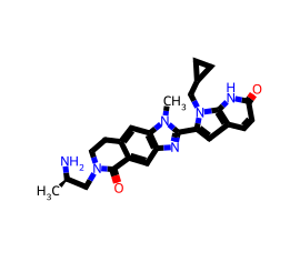 C[C@@H](N)CN1CCc2cc3c(cc2C1=O)nc(-c1cc2ccc(=O)[nH]c2n1CC1CC1)n3C